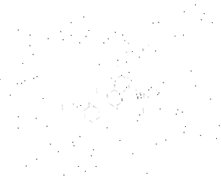 Cc1cc(N)nc(-c2ncc3c(N4C[C@H]5CC[C@@H](C4)N5)nc(OC[C@@]45CCCN4C[C@H](F)C5)nc3c2F)c1C(F)(F)F